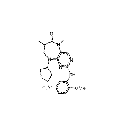 COc1ccc(N)cc1Nc1ncc2c(n1)N(C1CCCC1)CC(C)C(=O)N2C